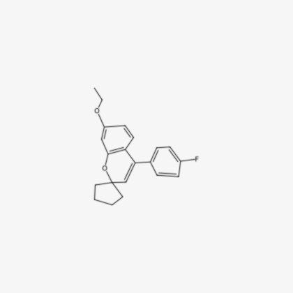 CCOc1ccc2c(c1)OC1(C=C2c2ccc(F)cc2)CCCC1